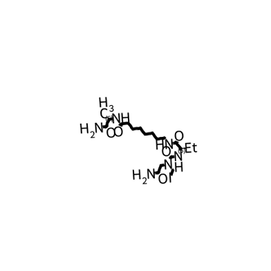 CC[C@H](NC(=O)N(CI)CC(N)=O)C(=O)NCCCCCCCC(=O)N[C@@H](C)C(N)=O